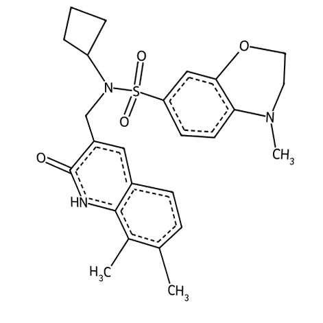 Cc1ccc2cc(CN(C3CCC3)S(=O)(=O)c3ccc4c(c3)OCCN4C)c(=O)[nH]c2c1C